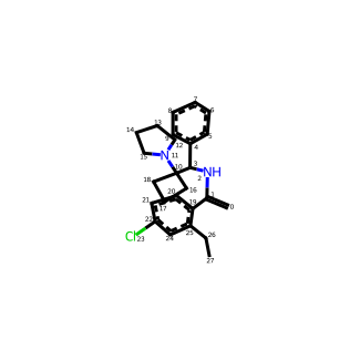 C=C(NC(c1ccccc1)C1(N2CCCC2)CCC1)c1ccc(Cl)cc1CC